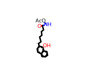 CC(=O)ONC(=O)CCCCC[CH]c1ccc2ccccc2c1O